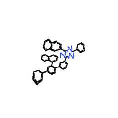 c1ccc(-c2ccc(-c3cccc(-c4nc(-c5ccccc5)nc(-c5ccc6ccccc6c5)n4)c3)c(-c3cccc4ccccc34)c2)cc1